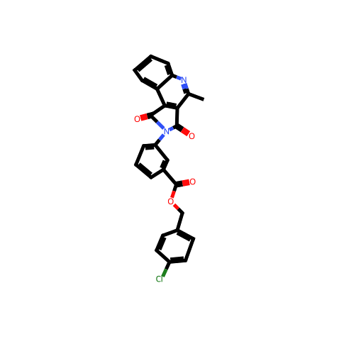 Cc1nc2ccccc2c2c1C(=O)N(c1cccc(C(=O)OCc3ccc(Cl)cc3)c1)C2=O